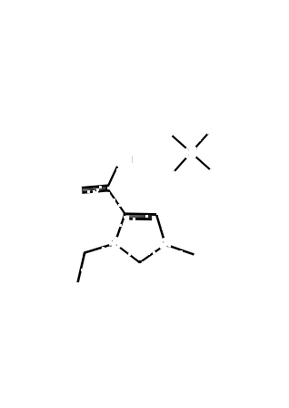 CCN1CN(C)C=C1C(=O)O.F[B-](F)(F)F